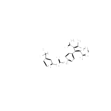 CC(=O)c1c(-c2ccc(NC(=O)Nc3cc(C(F)(F)F)ccn3)cc2)c2c(N)ncnn2c1Br